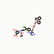 COC(=O)c1cc(O)cc(N(CC#Cc2sc3c(NC4CCN(C)CC4CCOCCOCCO[Si](c4ccccc4)(c4ccccc4)C(C)(C)C)cccc3c2CC(F)(F)F)C(=O)OC(C)(C)C)c1